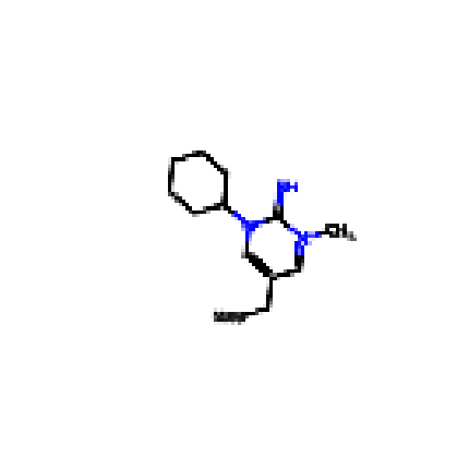 CSCc1cn(C2CCCCC2)c(=N)[n+](C)c1